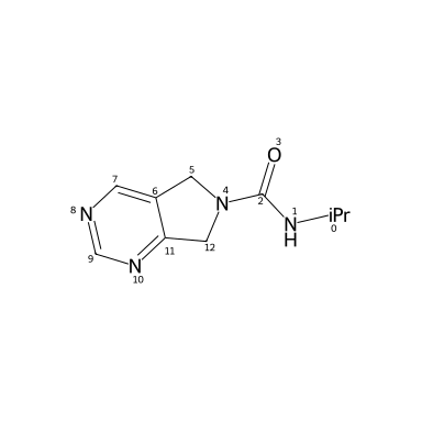 CC(C)NC(=O)N1Cc2cncnc2C1